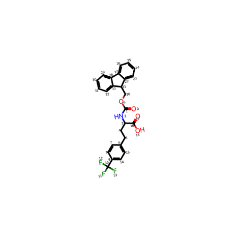 O=C(NC(CCc1ccc(C(F)(F)F)cc1)C(=O)O)OCC1c2ccccc2-c2ccccc21